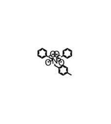 Cc1ccc(CN(S(=O)(=O)c2ccccc2)S(=O)(=O)c2ccccc2)cc1